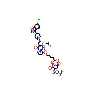 Cc1nc2n(c(=O)c1CCN1CCC(c3noc4c3C=CC(F)C4)CC1)CCCC2OCCCCC(=O)ON1C(=O)CC(S(=O)(=O)O)C1=O